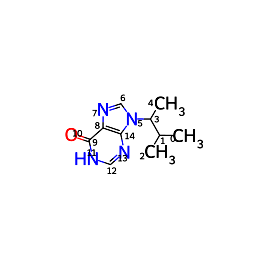 CC(C)C(C)n1cnc2c(=O)[nH]cnc21